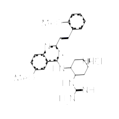 COc1ccc2nc(/C=C/c3ccccc3OC)nc(NC3CCCCC3NC(=N)N)c2c1.Cl.Cl